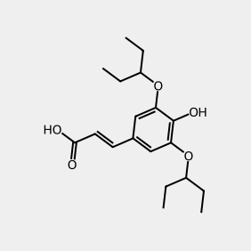 CCC(CC)Oc1cc(/C=C/C(=O)O)cc(OC(CC)CC)c1O